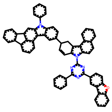 C1=CC(c2ccc3c(c2)c2c4cccc5c4c(cc2n3-c2ccccc2)-c2ccccc2-5)Cc2c1n(-c1nc(-c3ccccc3)nc(-c3ccc4oc5ccccc5c4c3)n1)c1ccc3ccccc3c21